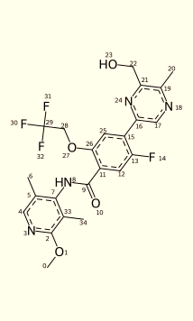 COc1ncc(C)c(NC(=O)c2cc(F)c(-c3cnc(C)c(CO)n3)cc2OCC(F)(F)F)c1C